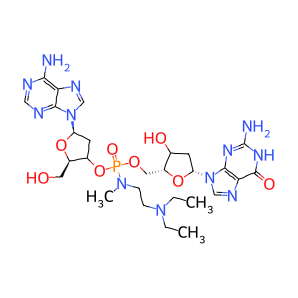 CCN(CC)CCN(C)P(=O)(OC[C@H]1O[C@@H](n2cnc3c(=O)[nH]c(N)nc32)CC1O)OC1C[C@H](n2cnc3c(N)ncnc32)O[C@@H]1CO